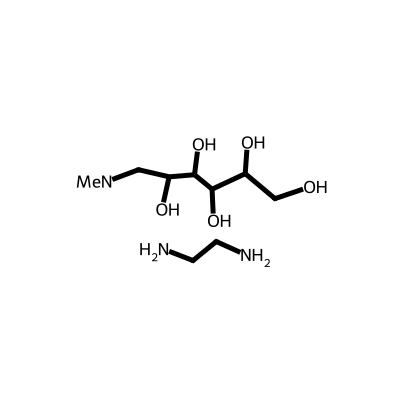 CNCC(O)C(O)C(O)C(O)CO.NCCN